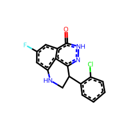 O=c1[nH]nc2c3c(cc(F)cc13)NCC2c1ccccc1Cl